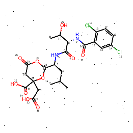 CC(C)C[C@H](NC(=O)[C@@H](NC(=O)c1cc(Cl)ccc1Cl)C(C)O)B1OC(=O)CC(CC(=O)O)(C(=O)O)O1